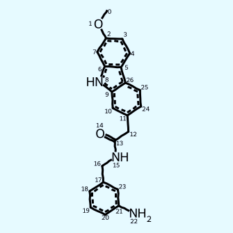 COc1ccc2c(c1)[nH]c1cc(CC(=O)NCc3cccc(N)c3)ccc12